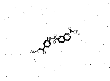 CC(=O)SCC(=O)c1ccc(NS(=O)(=O)c2ccc3c(c2)CN(C(=O)C(F)(F)F)CC3)cc1